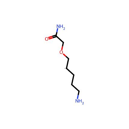 NCCC[CH]COCC(N)=O